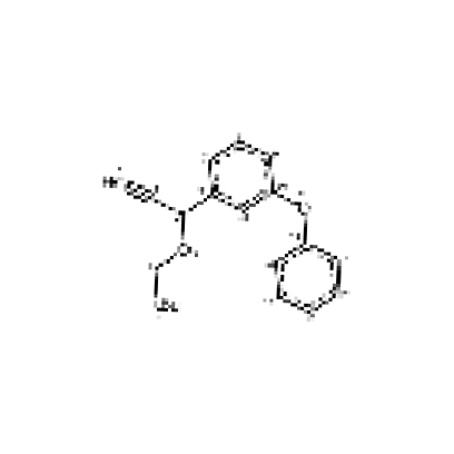 C#CC(OCC(C)(C)C)c1cccc(Oc2ccccc2)c1